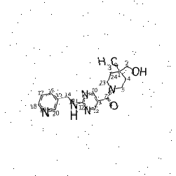 CC1(CO)CCN(C(=O)c2cnc(NCc3cccnc3)nc2)CC1